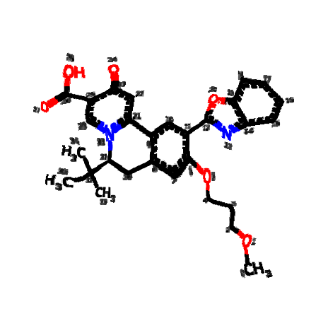 COCCCOc1cc2c(cc1-c1nc3ccccc3o1)-c1cc(=O)c(C(=O)O)cn1[C@H](C(C)(C)C)C2